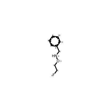 FCCONCc1ccccc1